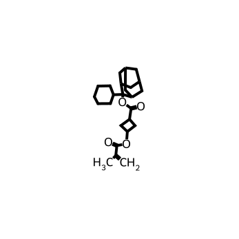 C=C(C)C(=O)OC1CC(C(=O)OC2(C3CCCCC3)C3CC4CC(C3)CC2C4)C1